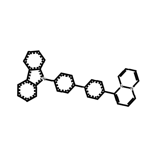 C1=CN2C=CC=C(c3ccc(-c4ccc(-n5c6ccccc6c6ccccc65)cc4)cc3)N2C=C1